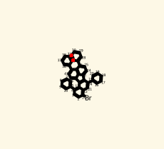 Brc1ccc(-c2ccccc2)c2c3c(c(-c4ccccc4)cc12)-c1ccc(-c2ccccc2)c2c(-c4ccccc4)ccc-3c12